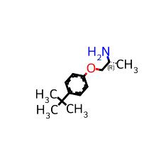 C[C@@H](N)COc1ccc(C(C)(C)C)cc1